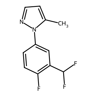 Cc1ccnn1-c1ccc(F)c(C(F)F)c1